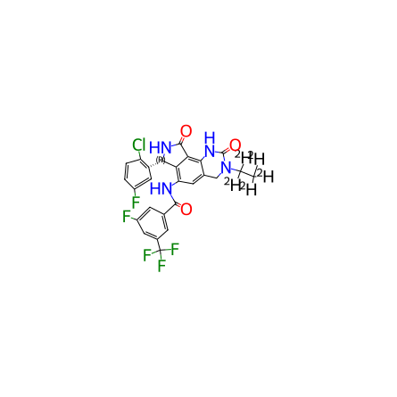 [2H]C([2H])([2H])C([2H])([2H])N1Cc2cc(NC(=O)c3cc(F)cc(C(F)(F)F)c3)c3c(c2NC1=O)C(=O)N[C@H]3c1cc(F)ccc1Cl